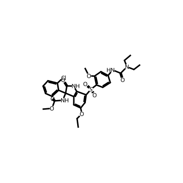 CCOc1cc2c(c(S(=O)(=O)c3ccc(NC(=O)N(CC)CC)cc3OC)c1)NC(=O)C2(NC(=O)OC)c1ccccc1Cl